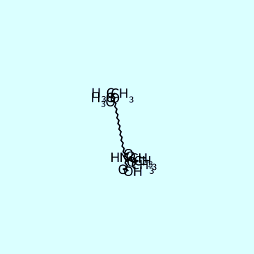 CC(C)(C)OC(=O)CCCCCCCCCCCCCCCCCCC(=O)NC(CCC(=O)O)C(=O)OC(C)(C)C